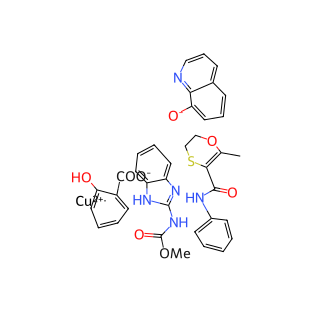 CC1=C(C(=O)Nc2ccccc2)SCCO1.COC(=O)Nc1nc2ccccc2[nH]1.O=C([O-])c1ccccc1O.[Cu+2].[O-]c1cccc2cccnc12